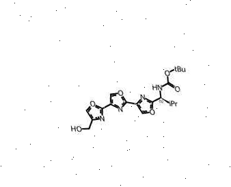 CC(C)[C@H](NC(=O)OC(C)(C)C)c1nc(-c2nc(-c3nc(CO)co3)co2)co1